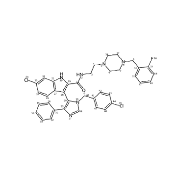 O=C(NCCN1CCN(Cc2ccccc2F)CC1)c1[nH]c2cc(Cl)ccc2c1-c1c(-c2ccccc2)ncn1Cc1ccc(Cl)cc1